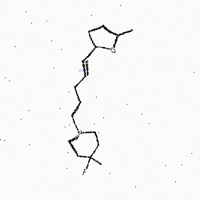 CC1CCC(/C=C/CCCN2CCC(C)(F)CC2)O1